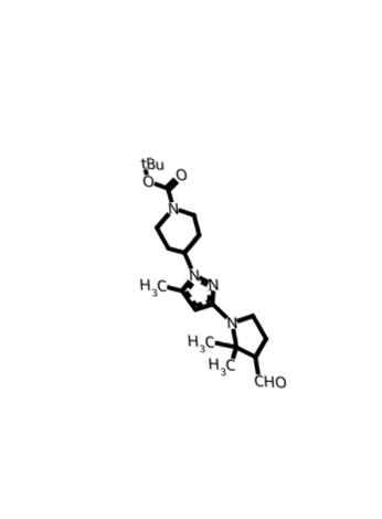 Cc1cc(N2CCC(C=O)C2(C)C)nn1C1CCN(C(=O)OC(C)(C)C)CC1